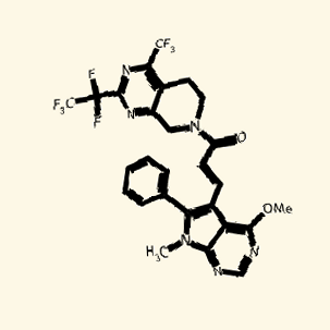 COc1ncnc2c1c(/C=C/C(=O)N1CCc3c(nc(C(F)(F)C(F)(F)F)nc3C(F)(F)F)C1)c(-c1ccccc1)n2C